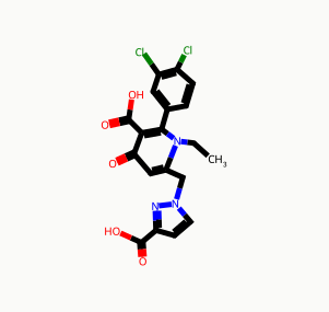 CCn1c(Cn2ccc(C(=O)O)n2)cc(=O)c(C(=O)O)c1-c1ccc(Cl)c(Cl)c1